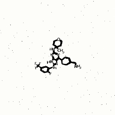 CC1(Nc2nc(C3CCC(CN)CC3)c3nc(Nc4cc(C(F)(F)F)ccc4F)[nH]c3n2)CCOCC1